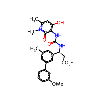 CCOC(=O)C[C@H](NC(=O)Nc1c(O)cc(C)n(C)c1=O)c1cc(C)cc(-c2cccc(OC)c2)c1